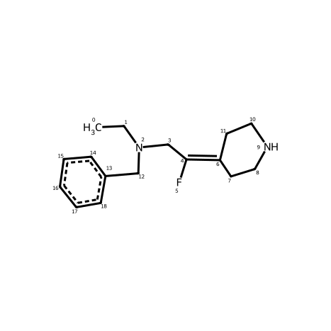 CCN(CC(F)=C1CCNCC1)Cc1ccccc1